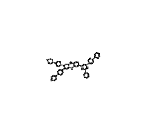 c1ccc(-c2ccc(-c3cc(-c4ccc5c(c4)Oc4cc(-c6ccc(-c7ccncc7)cc6)c(-c6ccc(-c7ccncc7)cc6)cc4O5)nc(-c4ccccc4)n3)cc2)cc1